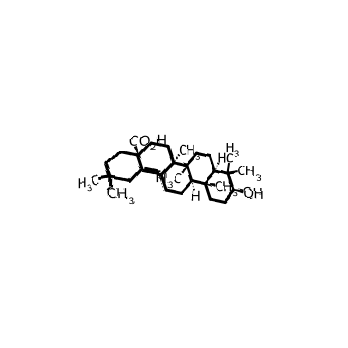 CC1(C)CC[C@]2(C(=O)O)CC[C@]3(C)C(=C2C1)CC[C@@H]1[C@@]2(C)CC[C@H](O)C(C)(C)[C@@H]2CC[C@]13C